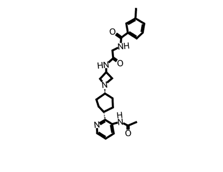 CC(=O)Nc1cccnc1[C@H]1CC[C@@H](N2CC(NC(=O)CNC(=O)c3cccc(C)c3)C2)CC1